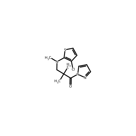 CN(CC(C)(C)C(=O)n1cccn1)c1sccc1Cl